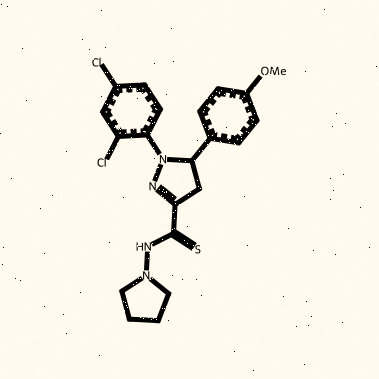 COc1ccc(C2CC(C(=S)NN3CCCC3)=NN2c2ccc(Cl)cc2Cl)cc1